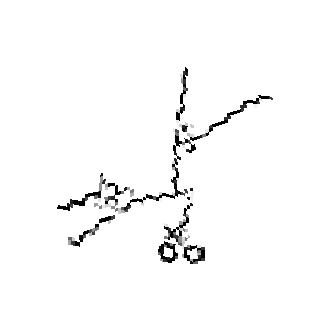 CCCCCCCCCC(=O)OC(CCCCCC(CCCCCC(CSCCCCCC)OC(=O)CN(C)C(=O)CCCCC)N(C)CCCCO[Si](c1ccccc1)(c1ccccc1)C(C)(C)C)CSCCCCCC